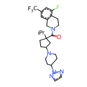 CC(C)C1(C(=O)N2CCc3c(F)cc(C(F)(F)F)cc3C2)CCC(N2CCC(n3nccn3)CC2)C1